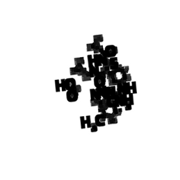 Cc1ccc(NC(=NC2(C)C=CN=N2)NC2CCc3sc(NC(=O)C4CC4)c(C(=O)NCC4CC4)c3C2)cc1.O=CO